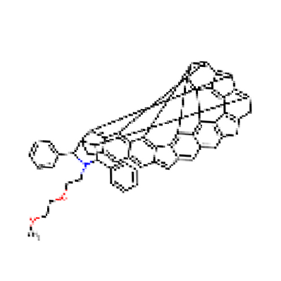 COCCOCCN1C(c2ccccc2)C2C3=c4c5c6c7c(cc8cc9cc%10cc%11cc%12c%13c(c4c4c5c5c7c8c7c9c%10c8c%11c%13c4c8c75)=C(C3)C%12)CC62C1c1ccccc1